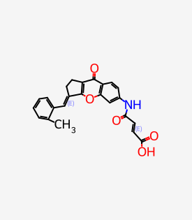 Cc1ccccc1/C=C1\CCc2c1oc1cc(NC(=O)/C=C/C(=O)O)ccc1c2=O